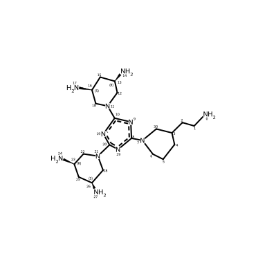 NCCC1CCCN(c2nc(N3C[C@H](N)C[C@H](N)C3)nc(N3C[C@H](N)C[C@H](N)C3)n2)C1